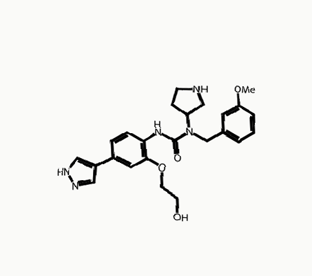 COc1cccc(CN(C(=O)Nc2ccc(-c3cn[nH]c3)cc2OCCO)C2CCNC2)c1